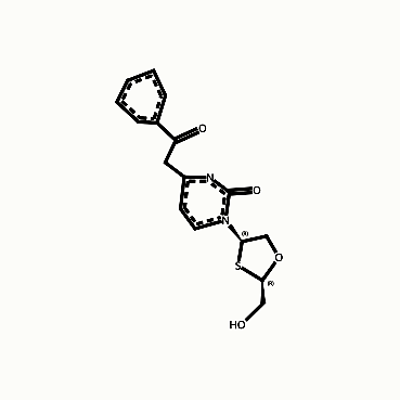 O=C(Cc1ccn([C@H]2CO[C@@H](CO)S2)c(=O)n1)c1ccccc1